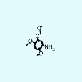 COCOc1cc(N)c(OC)cc1OC